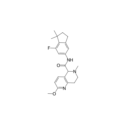 COc1ccc2c(n1)CCN(C)C2C(=O)Nc1cc(F)c2c(c1)CCC2(C)C